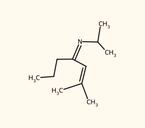 CCC/C(C=C(C)C)=N/C(C)C